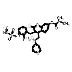 CNS(=O)(=O)Nc1cccc(Cc2c(CN(C)c3ccncc3)c3ccc(OC(=O)N(C)C)cc3oc2=O)c1F